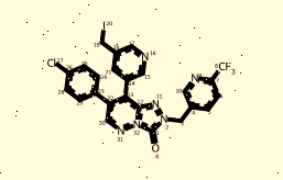 O=c1n(Cc2ccc(C(F)(F)F)nc2)nc2c(-c3cncc(CI)c3)c(-c3ccc(Cl)cc3)cnn12